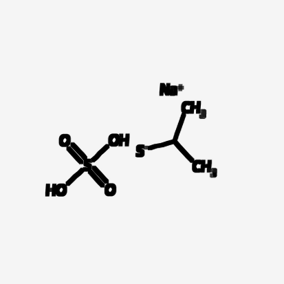 CC(C)[S-].O=S(=O)(O)O.[Na+]